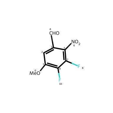 COc1cc(C=O)c([N+](=O)[O-])c(F)c1F